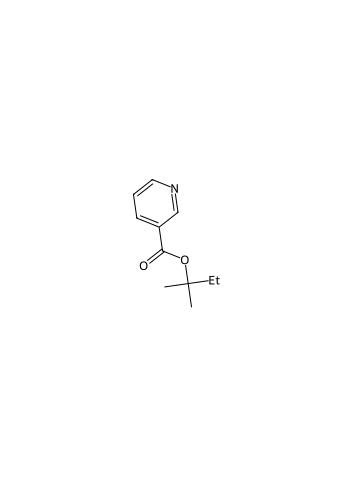 CCC(C)(C)OC(=O)c1cccnc1